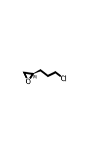 ClCCC[C@@H]1CO1